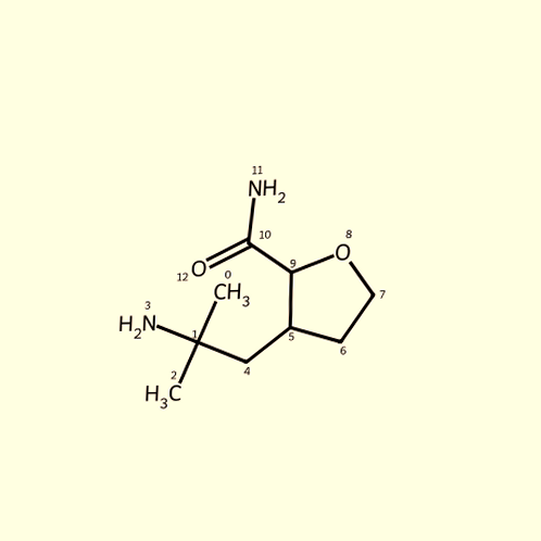 CC(C)(N)CC1CCOC1C(N)=O